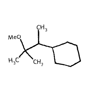 COC(C)(C)C(C)C1CCCCC1